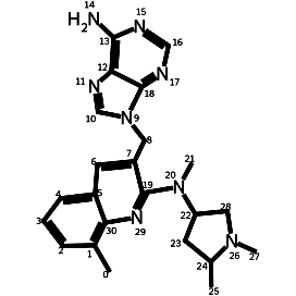 Cc1cccc2cc(Cn3cnc4c(N)ncnc43)c(N(C)C3CC(C)N(C)C3)nc12